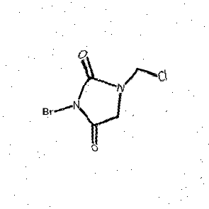 O=C1CN(CCl)C(=O)N1Br